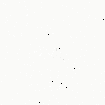 C[C@@H]1C(=O)c2cc(OC3CCCCO3)ccc2[C@H]2CC[C@]3(C)[C@@H](OC4CCCCO4)CC[C@H]3[C@H]12